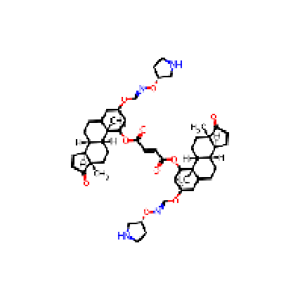 C[C@]12C(CC[C@@H]3[C@H]1CC[C@]1(C)C(=O)CC[C@@H]31)CC(OC=NO[C@@H]1CCNC1)CC2OC(=O)/C=C/C(=O)OC1CC(OC=NO[C@@H]2CCNC2)CC2CC[C@@H]3[C@@H](CC[C@]4(C)C(=O)CC[C@@H]34)[C@]21C